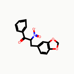 O=C(c1ccccc1)C(Cc1ccc2c(c1)OCO2)[N+](=O)[O-]